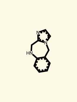 c1ccc2c(c1)Cn1ccnc1CN2